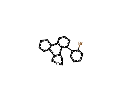 Brc1ccccc1-c1cccc2c3ccccc3c3ccccc3c12